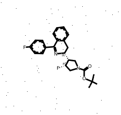 CC(C)(C)OC(=O)N1CC([C@H]2Cc3ccccc3C(c3ccc(F)cc3)=N2)[C@@H](F)C1